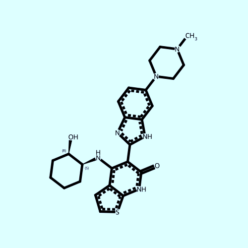 CN1CCN(c2ccc3nc(-c4c(N[C@H]5CCCC[C@H]5O)c5ccsc5[nH]c4=O)[nH]c3c2)CC1